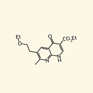 CCOCCc1cc2c(=O)c(C(=O)OCC)c[nH]c2nc1C